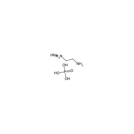 NCCN.O=P(O)(O)O.[NaH]